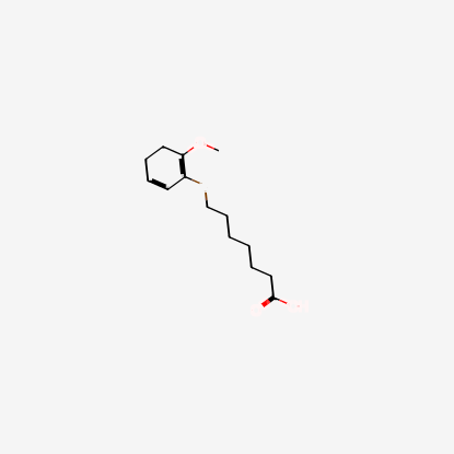 COC1=C(SCCCCCCC(=O)O)C=CCC1